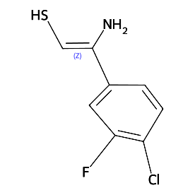 N/C(=C\S)c1ccc(Cl)c(F)c1